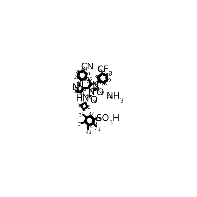 Cc1c(C[C@H]2C[C@@H](NC(=O)n3c(-c4ccnn4-c4ccc(C#N)cc4)c(C)n(-c4cccc(C(F)(F)F)c4)c3=O)C2)cc(S(=O)(=O)O)c(C)c1C.N